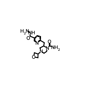 NNC(=O)c1ccc(CC2CN(C3COC3)CCN2C(N)=O)nc1